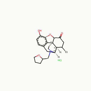 CCC1CC(=O)C2Oc3c(O)ccc4c3[C@@]23CCN(CC2CCCO2)[C@H](C4)[C@H]13.Cl